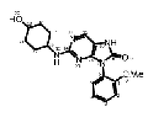 COc1ccccc1-n1c(=O)[nH]c2cnc(NC3CCC(O)CC3)nc21